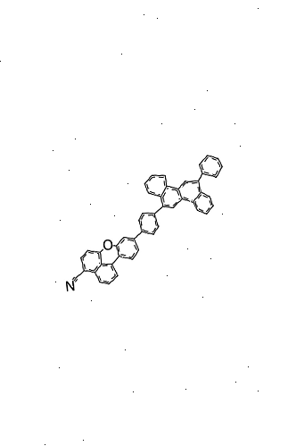 N#Cc1ccc2c3c(cccc13)-c1ccc(-c3ccc(-c4cc5c6ccccc6c(-c6ccccc6)cc5c5ccccc45)cc3)cc1O2